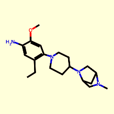 CCc1cc(N)c(OC)cc1N1CCC(N2CC3CC2CN3C)CC1